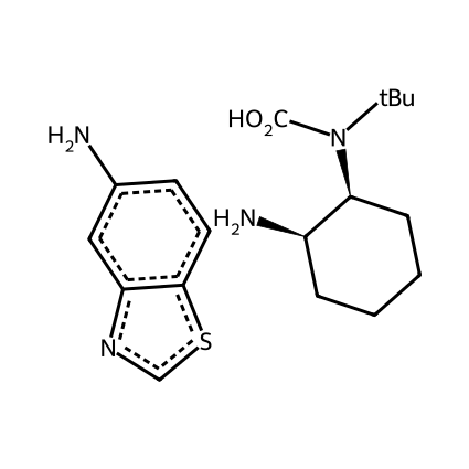 CC(C)(C)N(C(=O)O)[C@H]1CCCC[C@H]1N.Nc1ccc2scnc2c1